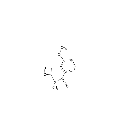 COc1cccc(C(=O)N(C)C2COO2)c1